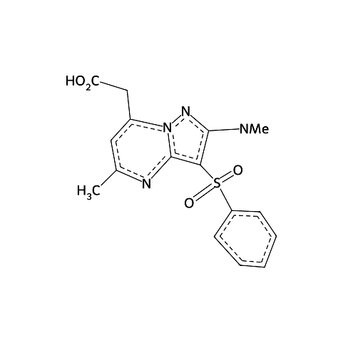 CNc1nn2c(CC(=O)O)cc(C)nc2c1S(=O)(=O)c1ccccc1